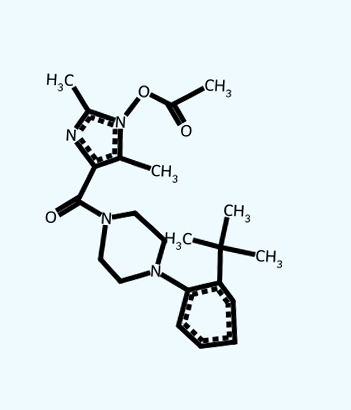 CC(=O)On1c(C)nc(C(=O)N2CCN(c3ccccc3C(C)(C)C)CC2)c1C